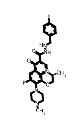 C[C@H]1COc2c(N3CCN(C)CC3)c(F)cc3c(=O)c(C(=O)NNCc4ccc(F)cc4)cn1c23